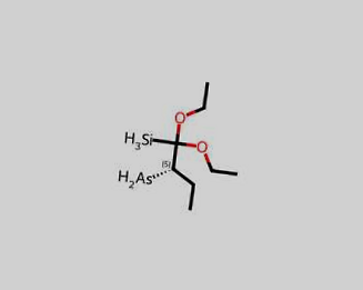 CCOC([SiH3])(OCC)[C@@H]([AsH2])CC